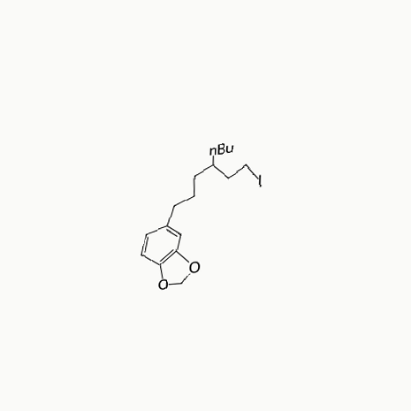 CCCCC(CCI)CCCc1ccc2c(c1)OCO2